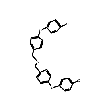 Clc1ccc(Oc2ccc(CSCc3ccc(Oc4ccc(Cl)cc4)cc3)cc2)cc1